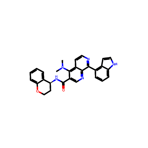 CN(C)c1c(C(=O)N[C@H]2CCOc3ccccc32)cnc2c(-c3cccc4[nH]ccc34)nccc12